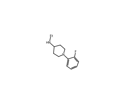 CCNC1CCN(c2ccccc2F)CC1